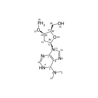 CN(C)C1NC=Nc2c1ncn2[C@H]1C[C@@H](OP)[C@@H](CO)O1